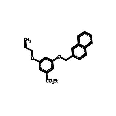 C=CCOc1cc(OCc2ccc3ccccc3c2)cc(C(=O)OCC)c1